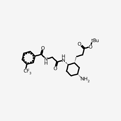 CC(C)(C)OC(=O)CC[C@@H]1C[C@H](N)CC[C@@H]1NC(=O)CNC(=O)c1cccc(C(F)(F)F)c1